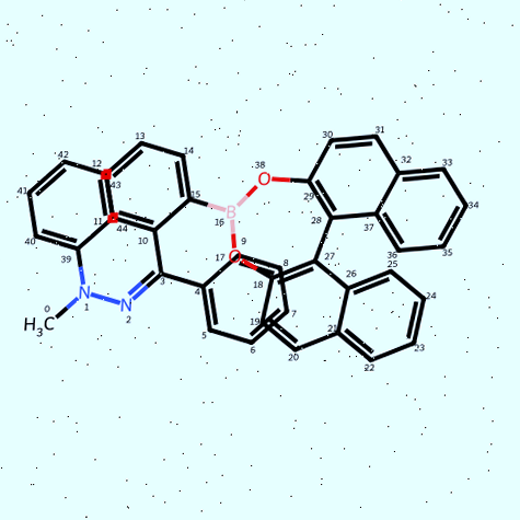 CN(/N=C(/c1ccccc1)c1ccccc1B1Oc2ccc3ccccc3c2-c2c(ccc3ccccc23)O1)c1ccccc1